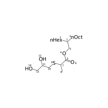 CCCCCCCCC(CCCCCC)COC(=O)C(C)SCC(O)CO